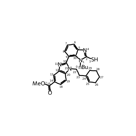 CCCCn1c(S)nc2cccc(-c3nc4cc(C(=O)OC)ccc4n3CCC3=CCCCC3)c21